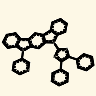 c1ccc(-c2nc(-n3c4ccccc4c4cc5c6ccccc6n(-c6cccnc6)c5cc43)sc2-c2ccccc2)cc1